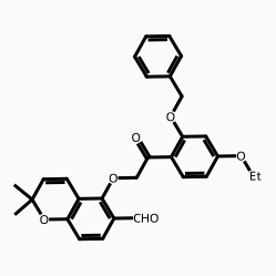 CCOc1ccc(C(=O)COc2c(C=O)ccc3c2C=CC(C)(C)O3)c(OCc2ccccc2)c1